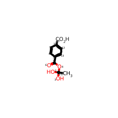 CC(O)(O)OC(=O)c1ccc(C(=O)O)cc1